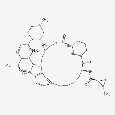 CCn1c(-c2cc(N3CCN(C)CC3)cnc2[C@H](C)OC)c2c3cc(ccc31)CCCC[C@H](NC(=O)[C@H]1C[C@@H]1C)C(=O)N1CCC[C@H](N1)C(=O)OCC(C)(C)C2